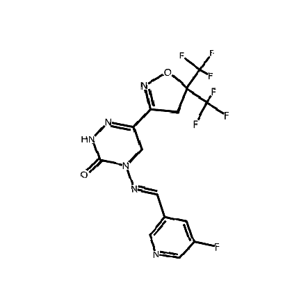 O=C1NN=C(C2=NOC(C(F)(F)F)(C(F)(F)F)C2)CN1N=Cc1cncc(F)c1